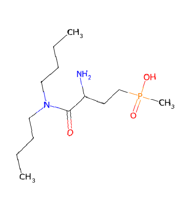 CCCCN(CCCC)C(=O)C(N)CCP(C)(=O)O